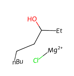 CCCCCCC(O)CC.[Mg+2][Cl]